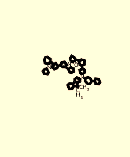 CC1(C)c2ccccc2-c2ccc(N(C3=CC=C(c4ccccc4)CC=C3)c3ccc(-c4cccc5c4oc4c(-n6c7ccccc7c7cc(-c8ccc9c(c8)c8c(n9-c9ccccc9)C=CCC=C8)ccc76)cccc45)cc3)cc21